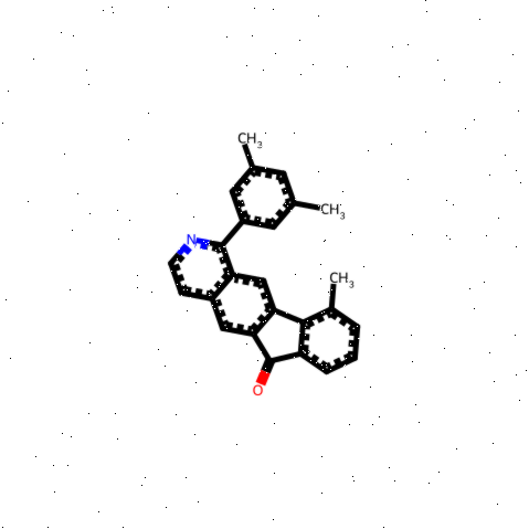 Cc1cc(C)cc(-c2nccc3cc4c(cc23)-c2c(C)cccc2C4=O)c1